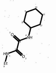 CCNC(=O)C(=O)NC1CCCCC1